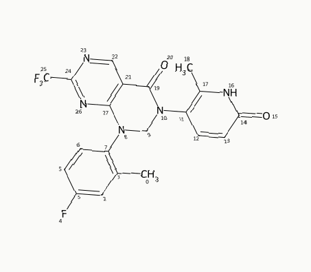 Cc1cc(F)ccc1N1CN(c2ccc(=O)[nH]c2C)C(=O)c2cnc(C(F)(F)F)nc21